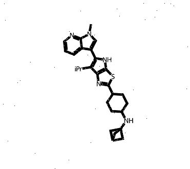 CC(C)c1c(-c2cn(C)c3ncccc23)[nH]c2sc(C3CCC(NC45CC(C4)C5)CC3)nc12